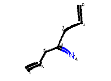 C=CCC(=[N])CC=C